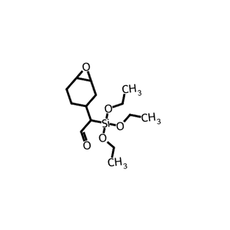 CCO[Si](OCC)(OCC)C(C=O)C1CCC2OC2C1